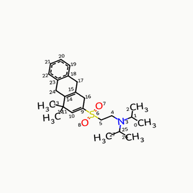 CC(C)N(CCS(=O)(=O)C1=CC(C)(C)C2=C(C1)Cc1ccccc1C2)C(C)C